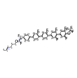 C/C=C/CCCO/C(F)=C(\F)c1ccc(-c2ccc(-c3ccc(-c4cc(F)c(-c5cc(F)c(OC(F)(F)F)c(F)c5)c(F)c4)c(F)c3)c(F)c2)cc1